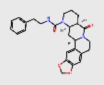 O=C1[C@@H]2CCCN(C(=O)NCCc3ccccc3)[C@@H]2C[C@@H]2c3cc4c(cc3CCN12)OCO4